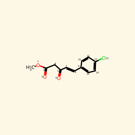 COC(=O)CC(=O)C=Cc1ccc(Cl)cc1